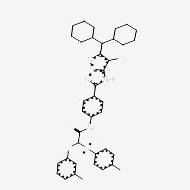 Cc1ccc(S(=O)(=O)C(Oc2cccc(C)c2)C(=O)Nc2ccc(-c3nn4nc(C(C5CCCCC5)C5CCCCC5)c(Cl)c4[nH]3)cc2)cc1